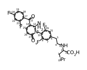 CC(C)CC(NCCc1cc(F)c(-n2c(N)c(C(=O)c3ccc(F)cc3F)ccc2=O)c(F)c1)C(=O)O